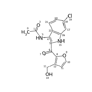 CC(=O)Nc1c(C(=O)c2occc2CO)[nH]c2cc(Cl)ccc12